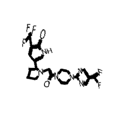 O=C(CN1CCCC1c1c[nH]c(=O)c(C(F)(F)F)c1)N1CCN(c2ncc(C(F)F)cn2)CC1